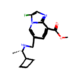 COC(=O)c1cc(CN[C@@H](C)C2CCC2)cn2c(F)cnc12